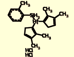 CC1=CC[C]([Hf]([SiH2]c2ccccc2C)[C]2=C(C)C(C)=CC2)=C1C.Cl.Cl